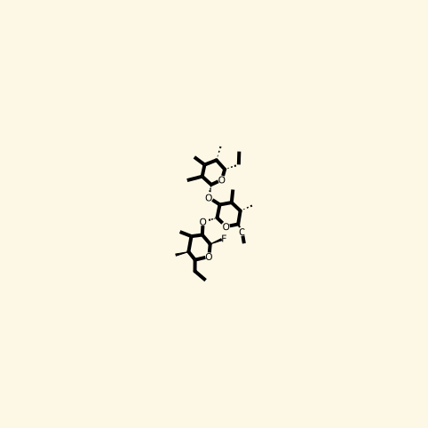 CCC1O[C@H](F)C(O[C@H]2O[C@@H](CC)[C@@H](C)C(C)C2O[C@H]2O[C@@H](CC)[C@@H](C)C(C)C2C)C(C)[C@@H]1C